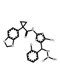 Cc1nc(NC(=O)C2(c3ccc4c(c3)OCO4)CC2)sc1C(N[S+]([O-])C(C)(C)C)c1ccccc1Cl